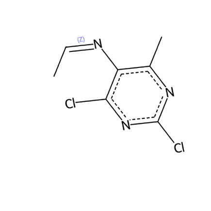 C/C=N\c1c(C)nc(Cl)nc1Cl